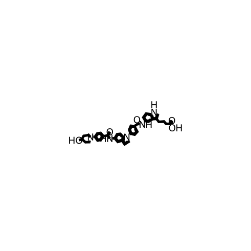 O=C(O)CCCc1c[nH]c2ccc(NC(=O)c3ccc(-n4ccc5cc(NC(=O)c6ccc(N7CCC(O)CC7)cc6)ccc54)cc3)cc12